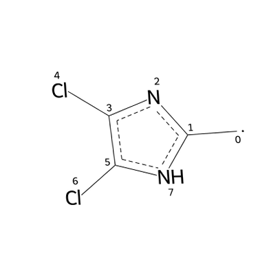 [CH2]c1nc(Cl)c(Cl)[nH]1